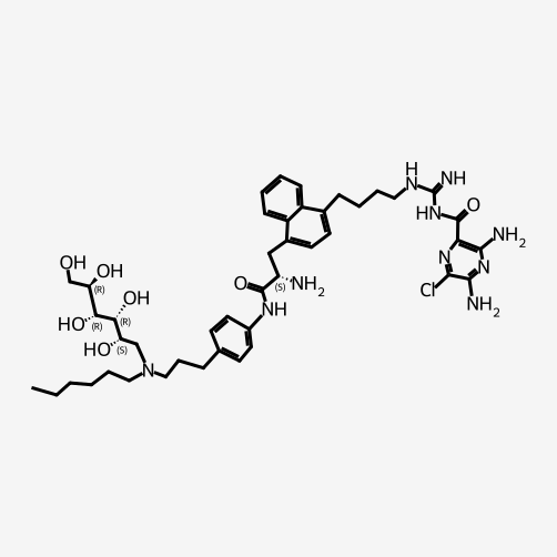 CCCCCCN(CCCc1ccc(NC(=O)[C@@H](N)Cc2ccc(CCCCNC(=N)NC(=O)c3nc(Cl)c(N)nc3N)c3ccccc23)cc1)C[C@H](O)[C@@H](O)[C@H](O)[C@H](O)CO